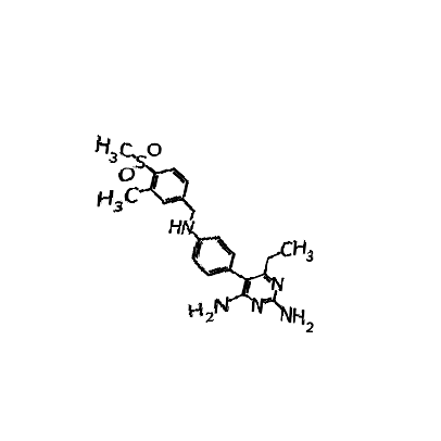 CCc1nc(N)nc(N)c1-c1ccc(NCc2ccc(S(C)(=O)=O)c(C)c2)cc1